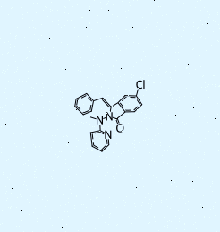 CN(c1ccccn1)N1C(=O)c2ccc(Cl)cc2/C1=C/c1ccccc1